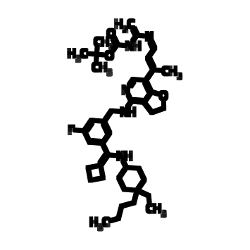 C=C(/N=C\C=C(/C)c1cnc(NCc2cc(F)cc(C(NC3CCC(CC)(CCCC)CC3)=C3CCC3)c2)c2c1OCC2)NC(=O)OC(C)(C)C